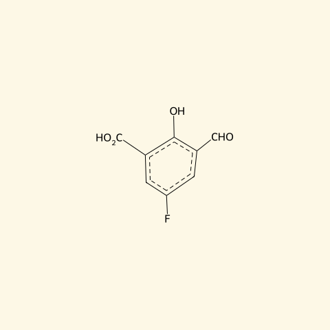 O=Cc1cc(F)cc(C(=O)O)c1O